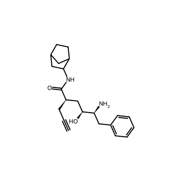 C#CC[C@H](C[C@H](O)[C@@H](N)Cc1ccccc1)C(=O)NC1CC2CCC1C2